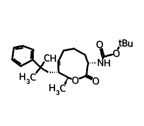 C[C@@H]1OC(=O)[C@@H](NC(=O)OC(C)(C)C)CCCC[C@H]1CC(C)(C)c1ccccc1